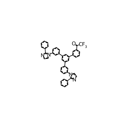 O=C(c1cccc(-c2cc(-c3cccc(-n4ccnc4-c4ccccc4)c3)cc(-c3cccc(-n4ccnc4-c4ccccc4)c3)c2)c1)C(F)(F)F